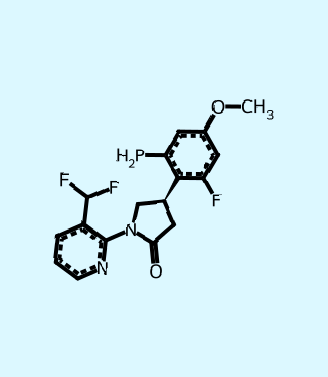 COc1cc(F)c([C@H]2CC(=O)N(c3ncccc3C(F)F)C2)c(P)c1